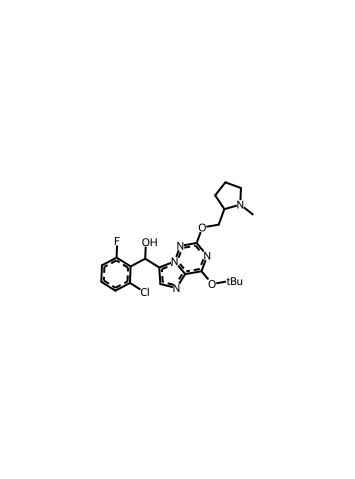 CN1CCCC1COc1nc(OC(C)(C)C)c2ncc(C(O)c3c(F)cccc3Cl)n2n1